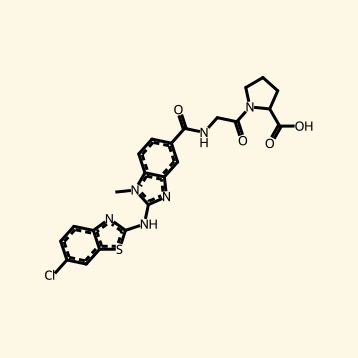 Cn1c(Nc2nc3ccc(Cl)cc3s2)nc2cc(C(=O)NCC(=O)N3CCCC3C(=O)O)ccc21